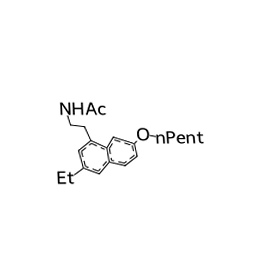 CCCCCOc1ccc2cc(CC)cc(CCNC(C)=O)c2c1